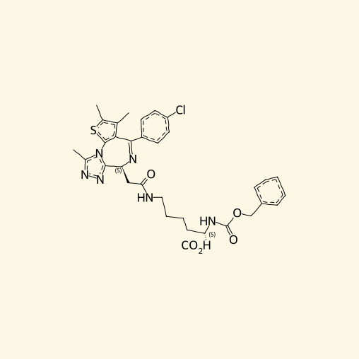 Cc1sc2c(c1C)C(c1ccc(Cl)cc1)=N[C@@H](CC(=O)NCCCC[C@H](NC(=O)OCc1ccccc1)C(=O)O)c1nnc(C)n1-2